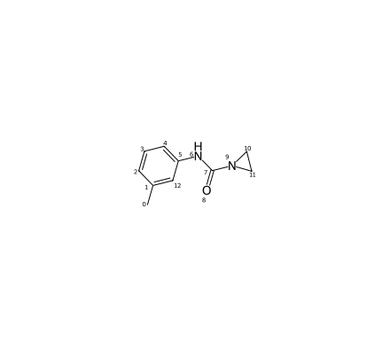 Cc1cccc(NC(=O)N2CC2)c1